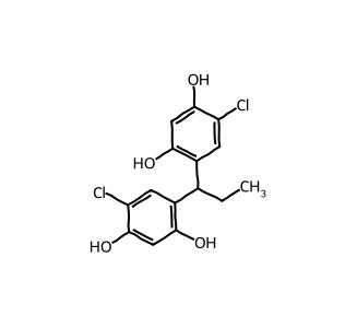 CCC(c1cc(Cl)c(O)cc1O)c1cc(Cl)c(O)cc1O